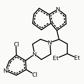 CCC(CC)CC(c1ccnc2ccccc12)N1CCN(c2c(Cl)cncc2Cl)CC1